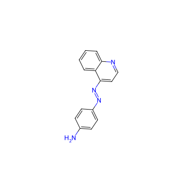 Nc1ccc(/N=N/c2ccnc3ccccc23)cc1